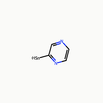 [SnH][c]1cnccn1